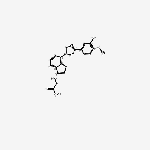 COC(=O)CN[C@H]1CCc2c(-c3cnc(-c4ccc(OC(C)C)c(C)c4)s3)cccc21